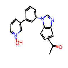 CC(=O)c1ccc2c(c1)ncn2-c1cccc(-c2ccc[n+](O)c2)c1